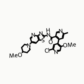 COc1cnc(Cl)cc1-c1cc(C)ncc1C(=O)Nc1nc2ncc(N3CCC(OC)CC3)cc2s1